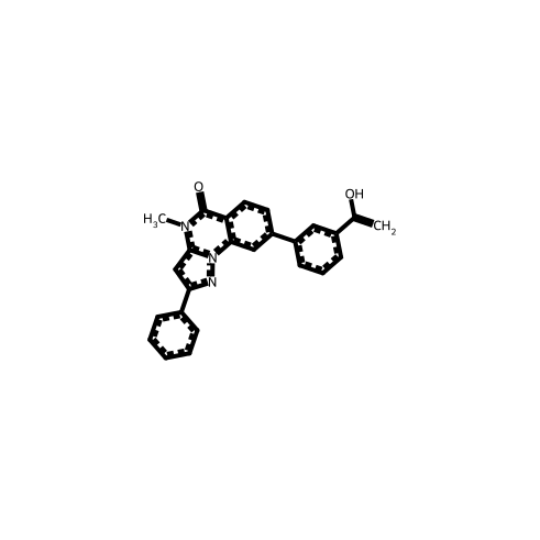 C=C(O)c1cccc(-c2ccc3c(=O)n(C)c4cc(-c5ccccc5)nn4c3c2)c1